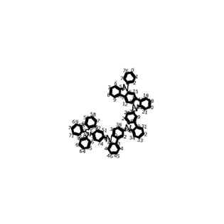 c1ccc(-n2c3ccccc3c3cc4c(cc32)c2ccccc2n4-c2ccc3c(c2)c2ccccc2n3-c2ccc3c(c2)c2ccccc2n3-c2ccc([Si](c3ccccc3)(c3ccccc3)c3ccccc3)cc2)cc1